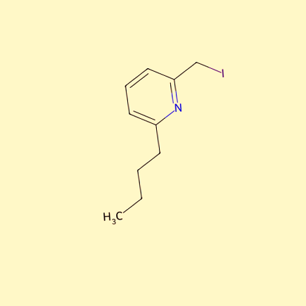 CCCCc1cccc(CI)n1